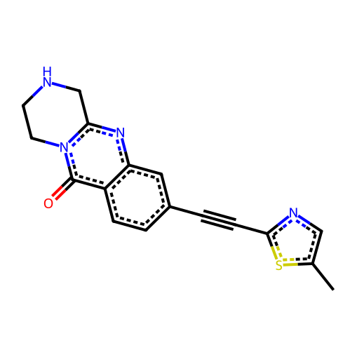 Cc1cnc(C#Cc2ccc3c(=O)n4c(nc3c2)CNCC4)s1